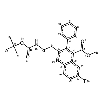 COC(=O)c1c(-c2ccccc2)c(CCNC(=O)OC(C)(C)C)nc2ccc(F)cc12